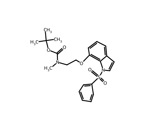 CN(CCOc1cccc2ccn(S(=O)(=O)c3ccccc3)c12)C(=O)OC(C)(C)C